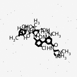 C=C1C2C[C@@H]1C[C@H](NC(=O)[C@@H]1[C@H]([C@H](C)O)[C@H](CO)ON1Cc1ccc(Cl)c(-c3cc(C(=O)N[C@@H](CC(C)C)CN(C)C)cc(N(C)C)c3)c1OC)[C@H]2C